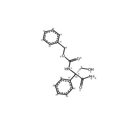 NC(=O)[C@](CO)(NC(=O)OCc1ccccc1)c1ccccc1